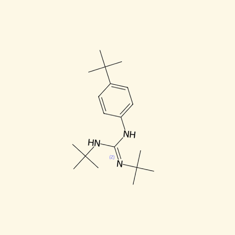 CC(C)(C)/N=C(\Nc1ccc(C(C)(C)C)cc1)NC(C)(C)C